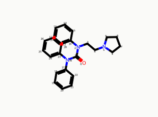 O=C(N(CCN1CCCC1)c1ccccc1)N(c1ccccc1)c1ccccc1